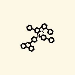 c1ccc(-c2ccc(N(c3ccc(-c4cc5ccccc5c5ccccc45)cc3)c3cc(-c4ccccc4)cc4c3sc3c(-c5ccccc5)cccc34)cc2)cc1